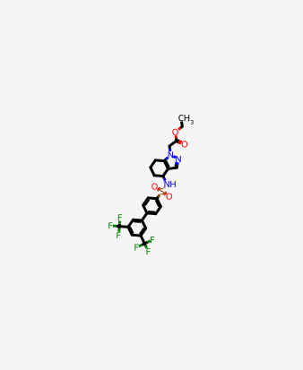 CCOC(=O)Cn1ncc2c1CCCC2NS(=O)(=O)c1ccc(-c2cc(C(F)(F)F)cc(C(F)(F)F)c2)cc1